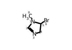 CN1C=N[CH]C1Br